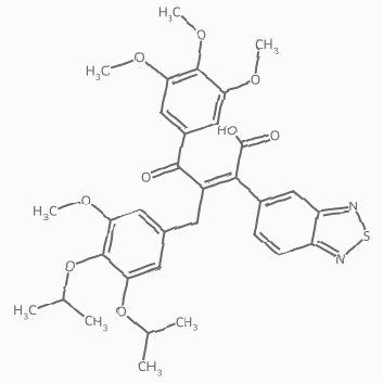 COc1cc(C(=O)C(Cc2cc(OC)c(OC(C)C)c(OC(C)C)c2)=C(C(=O)O)c2ccc3nsnc3c2)cc(OC)c1OC